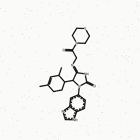 CC1=CC(C)C(C2C(=NCC(=O)N3CCSCC3)NC(=O)N2c2ccc3[nH]cnc3c2)CC1